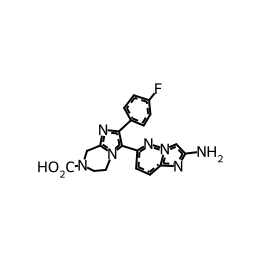 Nc1cn2nc(-c3c(-c4ccc(F)cc4)nc4n3CCN(C(=O)O)C4)ccc2n1